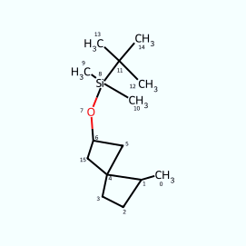 CC1CCC12CC(O[Si](C)(C)C(C)(C)C)C2